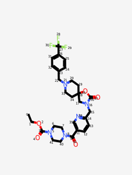 CCOC(=O)N1CCN(C(=O)c2ccc(CN3CC4(CCN(Cc5ccc(C(F)(F)F)cc5)CC4)OC3=O)nc2)CC1